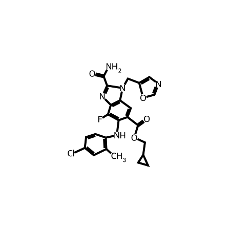 Cc1cc(Cl)ccc1Nc1c(C(=O)OCC2CC2)cc2c(nc(C(N)=O)n2Cc2cnco2)c1F